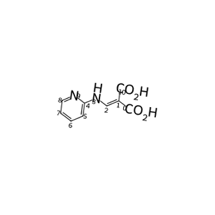 O=C(O)C(=CNc1ccccn1)C(=O)O